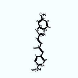 CNc1ccc(/C=C(C)/C=C/c2nc3ccc(O)cc3s2)cn1